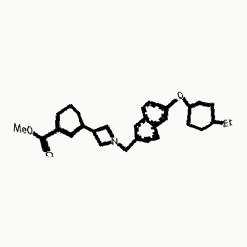 CCC1CCC(Oc2ccc3cc(CN4CC(C5CCCC(C(=O)OC)C5)C4)ccc3c2)CC1